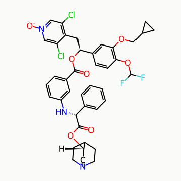 O=C(O[C@@H](Cc1c(Cl)c[n+]([O-])cc1Cl)c1ccc(OC(F)F)c(OCC2CC2)c1)c1cccc(N[C@@H](C(=O)O[C@H]2CN3CCC2CC3)c2ccccc2)c1